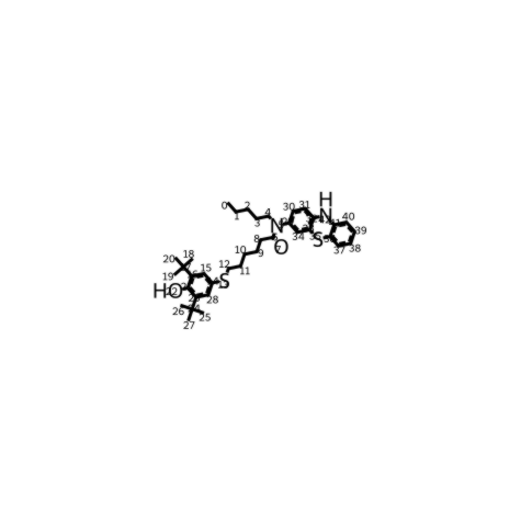 CCCCCN(C(=O)CCCCCSc1cc(C(C)(C)C)c(O)c(C(C)(C)C)c1)c1ccc2c(c1)Sc1ccccc1N2